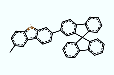 Cc1ccc2sc3cc(-c4ccc5c(c4)C4(c6ccccc6-c6ccccc64)c4ccccc4-5)ccc3c2c1